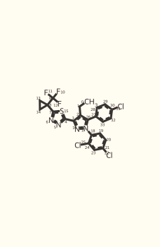 CCc1c(-c2nnc(C3(C(F)(F)F)CC3)s2)nn(-c2ccc(Cl)cc2Cl)c1-c1ccc(Cl)cc1